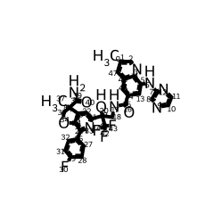 Cc1cnc2c(Nc3cnccn3)cc(C(=O)NCC(O)(c3cc4c(c(-c5ccc(F)cc5)n3)OC[C@]4(C)C(N)=O)C(F)(F)F)cc2c1